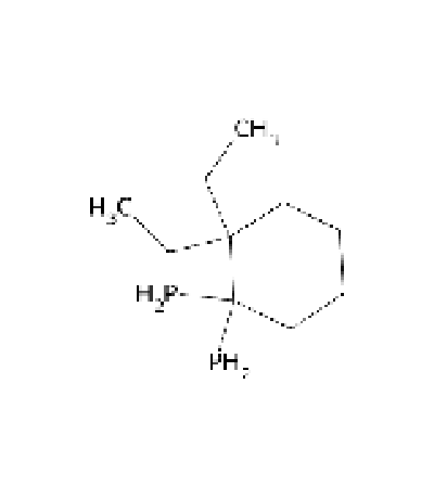 CCC1(CC)CCCCC1(P)P